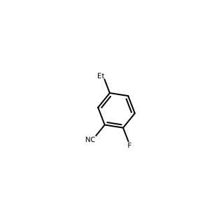 CCc1ccc(F)c(C#N)c1